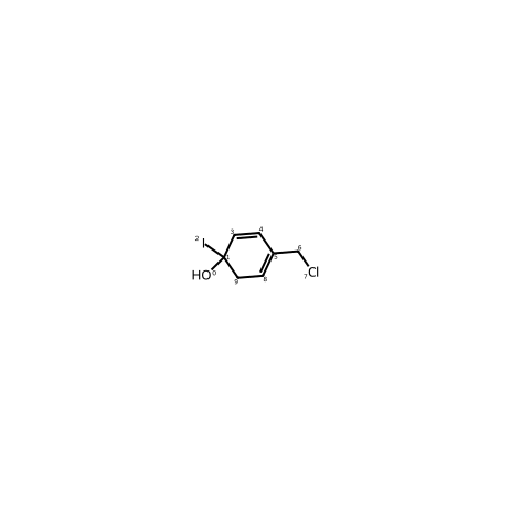 OC1(I)C=CC(CCl)=CC1